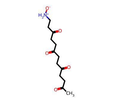 CC(=O)CCC(=O)CCC(=O)CCC(=O)CC[NH2+][O-]